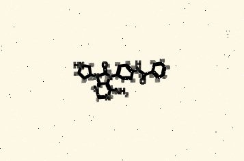 Nc1ncnc2c1n(-c1ccc(NC(=O)c3ccccc3)cc1)c(=O)n2C1CCNC1